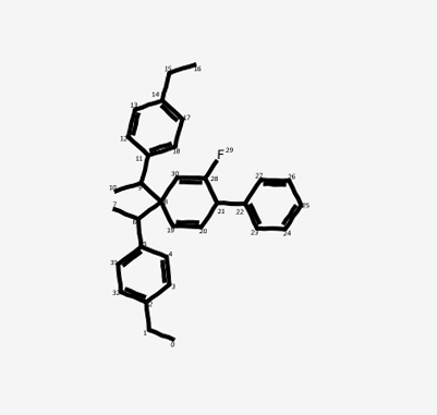 CCc1ccc(C(C)C2(C(C)c3ccc(CC)cc3)C=CC(c3ccccc3)C(F)=C2)cc1